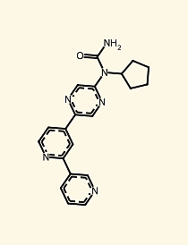 NC(=O)N(c1cnc(-c2ccnc(-c3cccnc3)c2)cn1)C1CCCC1